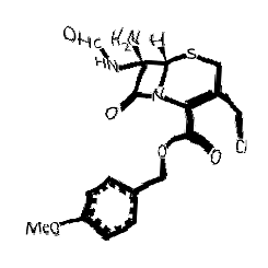 COc1ccc(COC(=O)C2=C(CCl)CS[C@@H]3N2C(=O)[C@]3(N)NC=O)cc1